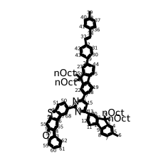 CCCCCCCCC1(CCCCCCCC)c2cc(C)ccc2-c2ccc(-c3cc(-c4ccc5c(c4)C(CCCCCCCC)(CCCCCCCC)c4cc(-c6ccc(/C=C/c7ccc(C)cc7)cc6)ccc4-5)nc(-c4ccc5sc6cc7oc8ccccc8c7cc6c5c4)n3)cc21